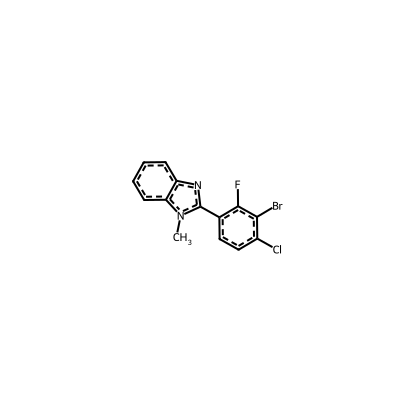 Cn1c(-c2ccc(Cl)c(Br)c2F)nc2ccccc21